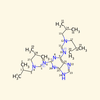 CC(C)CN(/C=N/c1nc(/N=C/N(CC(C)C)CC(C)C)c2nc[nH]c2n1)CC(C)C